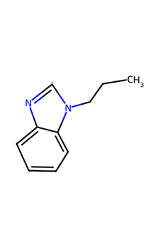 CCCn1[c]nc2ccccc21